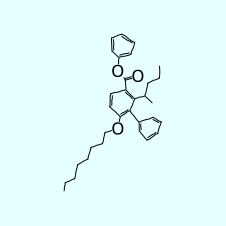 CCCCCCCCOc1ccc(C(=O)Oc2ccccc2)c(C(C)CCC)c1-c1ccccc1